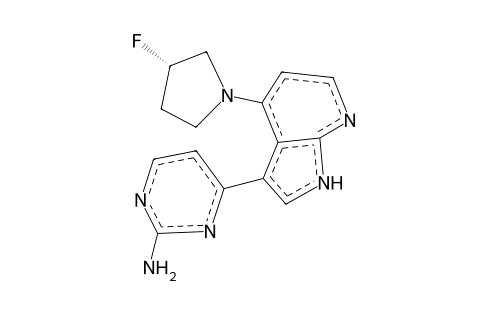 Nc1nccc(-c2c[nH]c3nccc(N4CC[C@H](F)C4)c23)n1